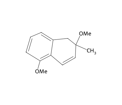 COc1cccc2c1C=CC(C)(OC)C2